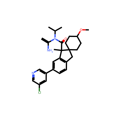 C=C(N)N(C(=O)C1(C)c2cc(-c3cncc(Cl)c3)ccc2CC12CCC(OC)CC2)C(C)C